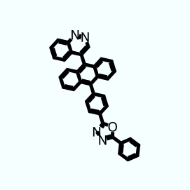 c1ccc(-c2nnc(-c3ccc(-c4c5ccccc5c(-c5cnnc6ccccc56)c5ccccc45)cc3)o2)cc1